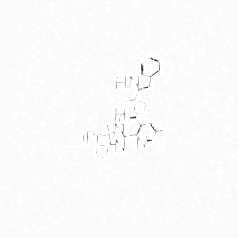 Cc1cnc(C2=NC(=O)C(C)(C(C)C)N2)c(C(=O)OC(C)c2cc3ccccc3[nH]2)c1